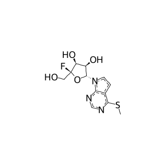 CSc1ncnc2c1ccn2[C@@H]1O[C@](F)(CO)[C@@H](O)[C@H]1O